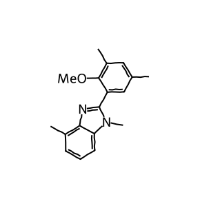 COc1c(C)cc(C)cc1-c1nc2c(C)cccc2n1C